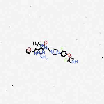 Cn1c(=O)n(CCN2CCN(c3ccc(O[C@H]4CNC[C@H]4F)cc3F)CC2)c2nc(N)n3nc(-c4ccco4)cc3c21